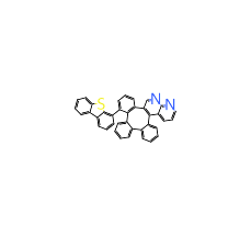 c1ccc2c(c1)-c1ccccc1-c1c(cnc3ncccc13)-c1cccc(-c3cccc4c3sc3ccccc34)c1-2